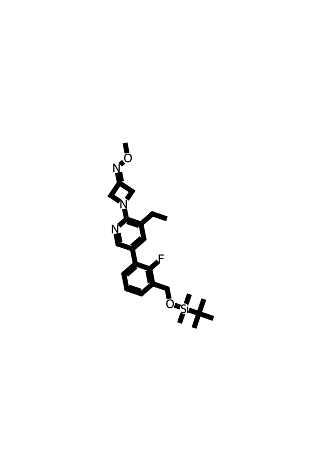 CCc1cc(-c2cccc(CO[Si](C)(C)C(C)(C)C)c2F)cnc1N1CC(=NOC)C1